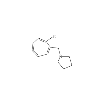 CCC1=CC=C=CC=C1CN1CCCC1